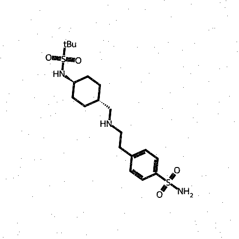 CC(C)(C)S(=O)(=O)N[C@H]1CC[C@H](CNCCc2ccc(S(N)(=O)=O)cc2)CC1